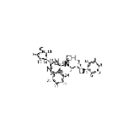 CN(CCOc1ccccc1)c1nc(-c2ccsc2)nc2ccccc12